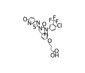 COc1ccc2nc(N(Cc3ccc(OCCCC(=O)O)cc3)C(=O)Nc3ccc(Cl)c(C(F)(F)F)c3)sc2n1